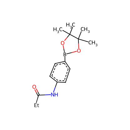 CCC(=O)Nc1ccc(B2OC(C)(C)C(C)(C)O2)cc1